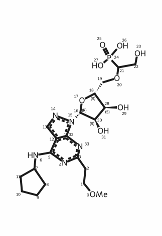 COCCc1nc(NC2CCCC2)c2cnn([C@@H]3O[C@H](COC(CO)P(=O)(O)O)[C@@H](O)[C@H]3O)c2n1